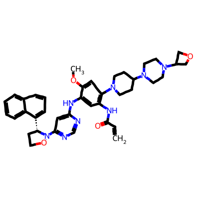 C=CC(=O)Nc1cc(Nc2cc(N3OCC[C@@H]3c3cccc4ccccc34)ncn2)c(OC)cc1N1CCC(N2CCN(C3COC3)CC2)CC1